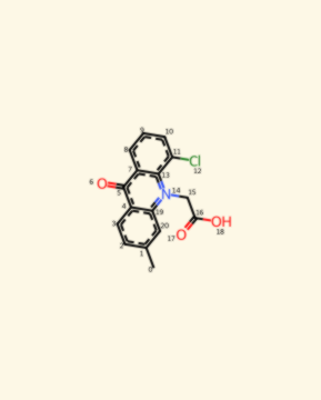 Cc1ccc2c(=O)c3cccc(Cl)c3n(CC(=O)O)c2c1